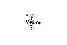 Cc1cc(SC(Cc2cc(-c3ccc(F)cc3)no2)c2sc(-c3ccc(C(F)(F)F)cc3)nc2C)ccc1O